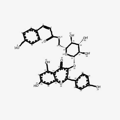 O=C(/C=C\c1ccc(O)cc1)OC[C@H]1O[C@@H](Oc2c(-c3ccc(O)cc3)oc3cc(O)cc(O)c3c2=O)[C@H](O)[C@@H](O)[C@@H]1O